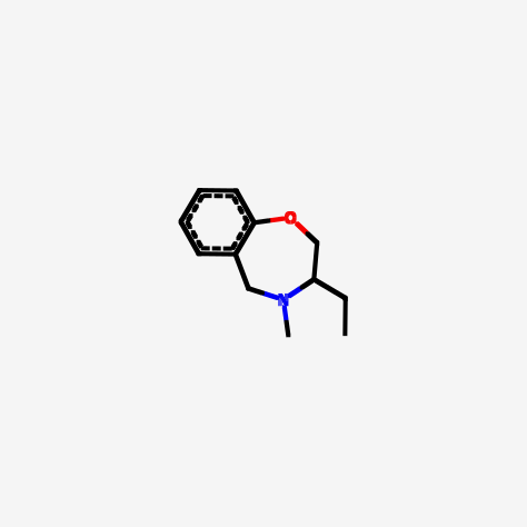 CCC1COc2ccccc2CN1C